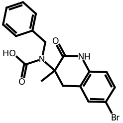 CC1(N(Cc2ccccc2)C(=O)O)Cc2cc(Br)ccc2NC1=O